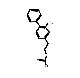 O=C(NCCc1ccc(-c2ccccc2)c([N+](=O)[O-])c1)C(F)(F)F